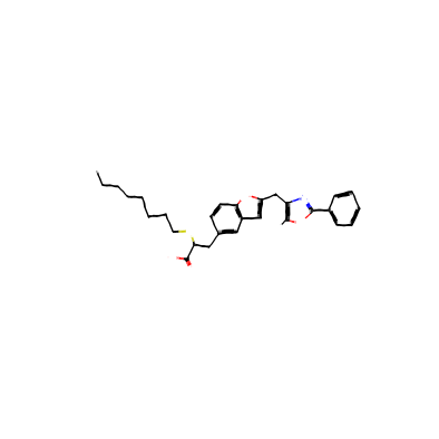 CCCCCCCCSC(Cc1ccc2oc(Cc3nc(-c4ccccc4)oc3C)cc2c1)C(=O)O